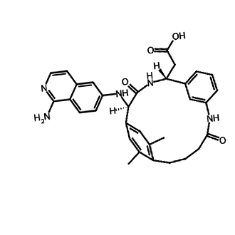 Cc1cc2cc(C)c1CCCC(=O)Nc1cccc(c1)[C@@H](CC(=O)O)NC(=O)[C@@H]2Nc1ccc2c(N)nccc2c1